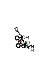 CNCC(C)NC(=O)N1CCC[C@@H]([C@@](O)(CCCCOC)c2ccccc2Oc2ccccc2Cl)C1